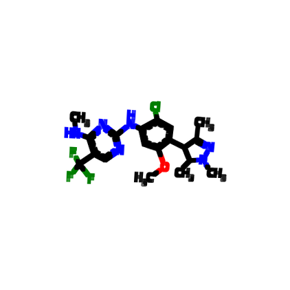 CNc1nc(Nc2cc(OC)c(C3C(C)=NN(C)C3C)cc2Cl)ncc1C(F)(F)F